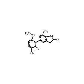 Cc1cc(-c2c(OC(F)(F)F)ccc(C#N)c2Cl)cc2c1NC(=O)C2